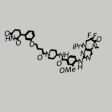 COc1cc(C(=O)NC2CCN(C(=O)CCCOc3cccc(C4CCC(=O)NC4=O)c3)CC2)ccc1Nc1ncc2c(n1)N(C(C)C)CC(F)(F)C(=O)N2C